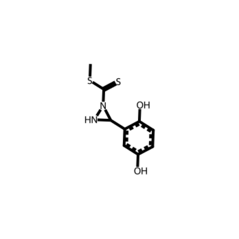 CSC(=S)N1NC1c1cc(O)ccc1O